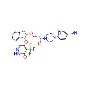 N#Cc1ccc(N2CCN(C(=O)CCOC3Cc4ccccc4C3Oc3cn[nH]c(=O)c3C(F)(F)F)CC2)nc1